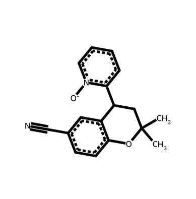 CC1(C)CC(c2cccc[n+]2[O-])c2cc(C#N)ccc2O1